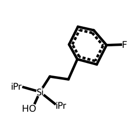 CC(C)[Si](O)(CCc1cccc(F)c1)C(C)C